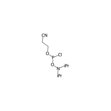 CC(C)N(OP(Cl)OCCC#N)C(C)C